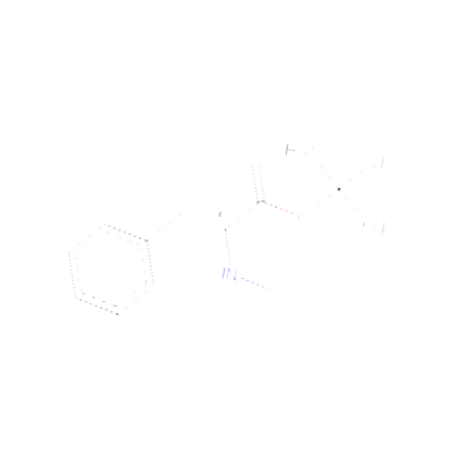 CC(C)(C)OC(=O)[C@@H](Cc1ccccc1)NCl